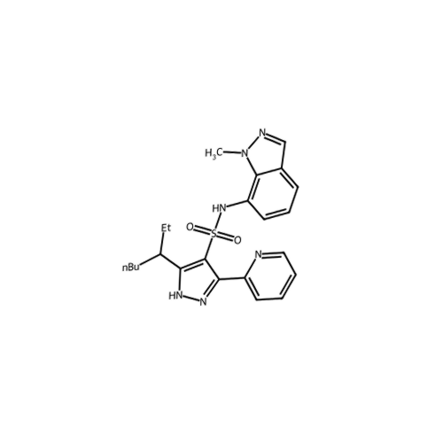 CCCCC(CC)c1[nH]nc(-c2ccccn2)c1S(=O)(=O)Nc1cccc2cnn(C)c12